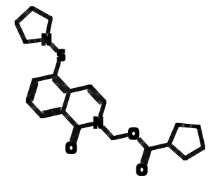 O=C(OCn1ccc2c(SN3CCCC3)cccc2c1=O)C1CCCC1